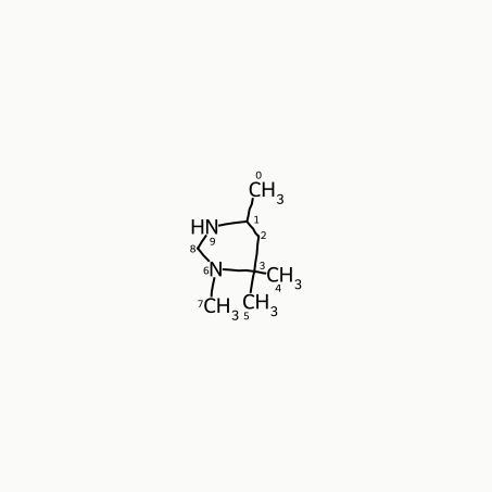 CC1CC(C)(C)N(C)CN1